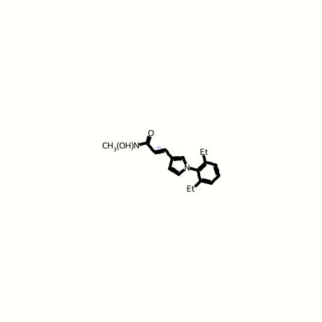 CCc1cccc(CC)c1-n1ccc(/C=C/C(=O)N(C)O)c1